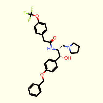 O=C(Cc1ccc(OC(F)(F)F)cc1)N[C@H](CN1CCCC1)[C@H](O)c1ccc(OCc2ccccc2)cc1